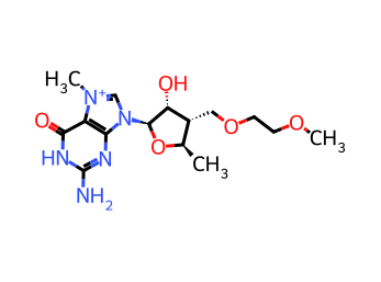 COCCOC[C@H]1[C@@H](O)[C@H](n2c[n+](C)c3c(=O)[nH]c(N)nc32)O[C@@H]1C